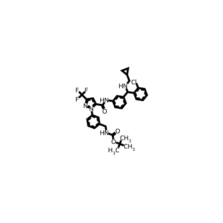 CC(C)(C)OC(=O)NCc1cccc(-n2nc(C(F)(F)F)cc2C(=O)Nc2cccc(C(NCC3CC3)c3ccccc3Cl)c2)c1